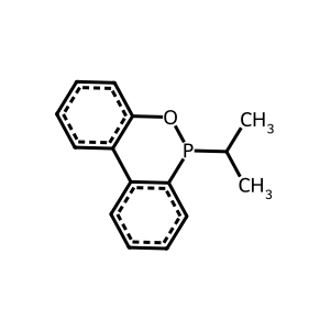 CC(C)P1Oc2ccccc2-c2ccccc21